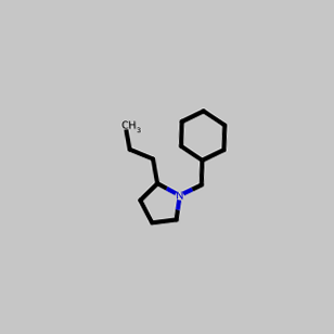 CCCC1CCCN1CC1CCCCC1